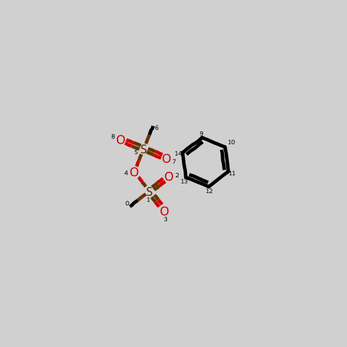 CS(=O)(=O)OS(C)(=O)=O.c1ccccc1